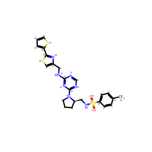 O=S(=O)(NC[C@H]1CCCN1c1ncnc(NCc2csc(-c3cccs3)n2)n1)c1ccc(C(F)(F)F)cc1